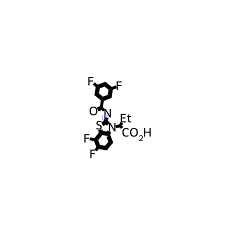 CCC(C(=O)O)n1/c(=N/C(=O)c2cc(F)cc(F)c2)sc2c(F)c(F)ccc21